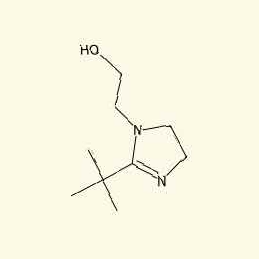 CC(C)(C)C1=NCCN1CCO